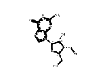 CC(=O)C[C@H]1[C@@H](O)[C@H](n2cnc3c(=O)[nH]c(N)nc32)O[C@@H]1CO